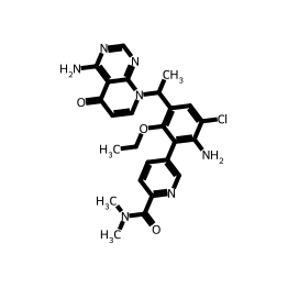 CCOc1c(C(C)n2ccc(=O)c3c(N)ncnc32)cc(Cl)c(N)c1-c1ccc(C(=O)N(C)C)nc1